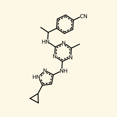 Cc1nc(Nc2cc(C3CC3)[nH]n2)nc(NC(C)c2ccc(C#N)cc2)n1